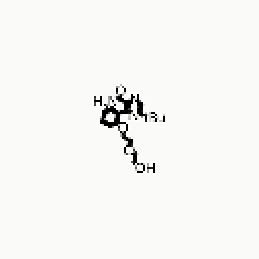 CC(C)(C)c1cnc(C(N)=O)c(-c2ccccc2OCCOCCO)n1